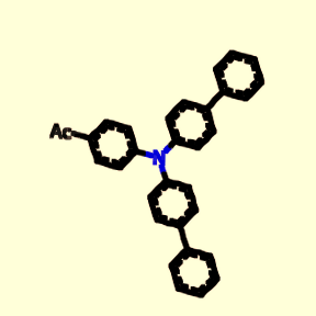 CC(=O)c1ccc(N(c2ccc(-c3ccccc3)cc2)c2ccc(-c3ccccc3)cc2)cc1